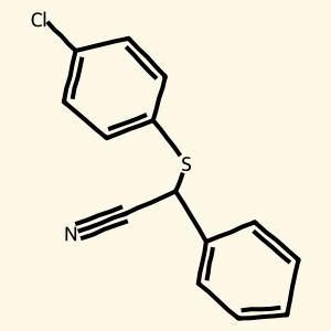 N#CC(Sc1ccc(Cl)cc1)c1ccccc1